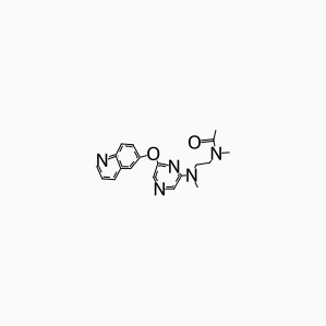 CC(=O)N(C)CCN(C)c1cncc(Oc2ccc3ncccc3c2)n1